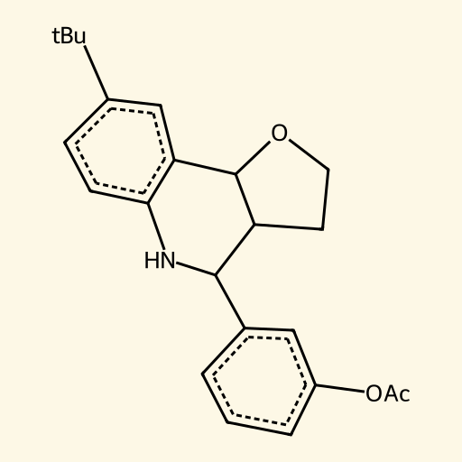 CC(=O)Oc1cccc(C2Nc3ccc(C(C)(C)C)cc3C3OCCC23)c1